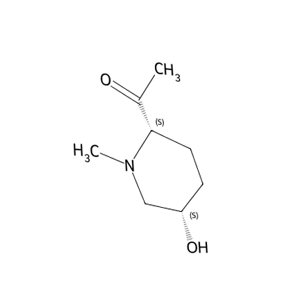 CC(=O)[C@@H]1CC[C@H](O)CN1C